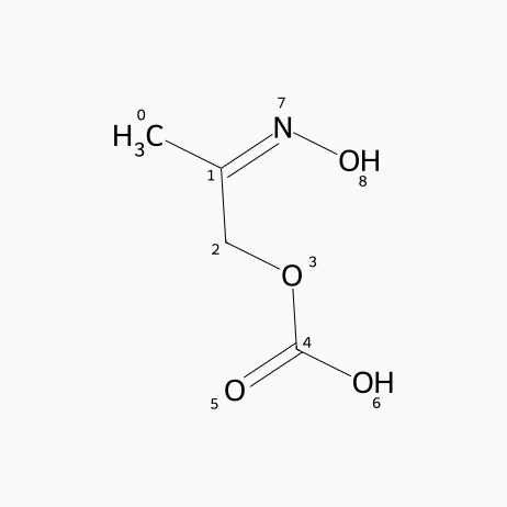 CC(COC(=O)O)=NO